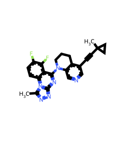 Cc1nnc2nc(N3CCCc4c(C#CC5(C)CC5)cncc43)c3c(F)c(F)ccc3n12